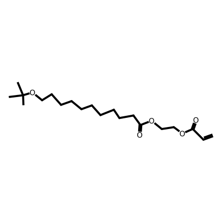 C=CC(=O)OCCOC(=O)CCCCCCCCCCOC(C)(C)C